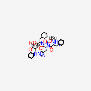 CNC(=O)[C@H](Cc1ccccc1)C[C@H](O)[C@H](CC1CCCCC1)NC(=O)[C@H](Cc1c[nH]cn1)N(C(=O)OC(C)(C)C)C(=O)[C@@H](N)Cc1ccccc1